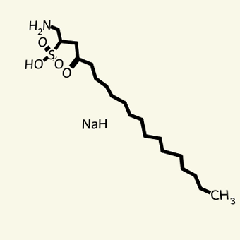 CCCCCCCCCCCCCCCC(=O)CC(CN)S(=O)(=O)O.[NaH]